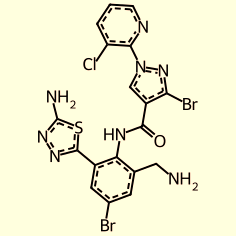 NCc1cc(Br)cc(-c2nnc(N)s2)c1NC(=O)c1cn(-c2ncccc2Cl)nc1Br